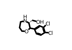 OC[C@H]1NCCCOC1c1ccc(Cl)c(Cl)c1